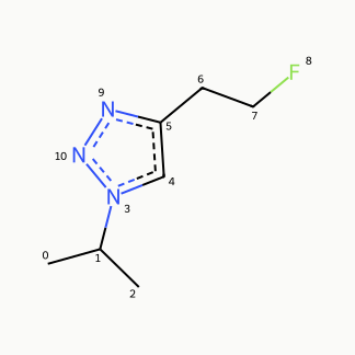 CC(C)n1cc(CCF)nn1